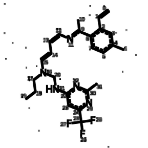 C=Cc1cc(C)ccc1/C(C)=N/C=C\C=C\N(CCC)CNc1cc(C(F)(F)F)nc(C)n1